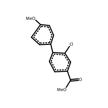 COC(=O)c1ccc(-c2ccc(OC)cc2)c(Cl)c1